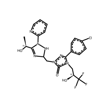 C[C@H](O)C1=NC(Cn2nc(-c3ccc(Cl)cc3)n(C[C@H](O)C(F)(F)F)c2=O)NN1c1ccccn1